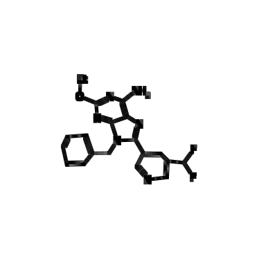 CCOc1nc(N)c2nc(-c3cncc(C(F)F)c3)n(Cc3ccccc3)c2n1